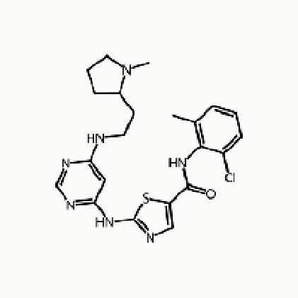 Cc1cccc(Cl)c1NC(=O)c1cnc(Nc2cc(NCCC3CCCN3C)ncn2)s1